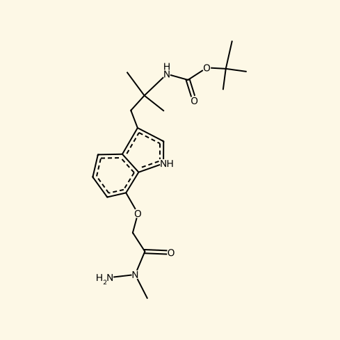 CN(N)C(=O)COc1cccc2c(CC(C)(C)NC(=O)OC(C)(C)C)c[nH]c12